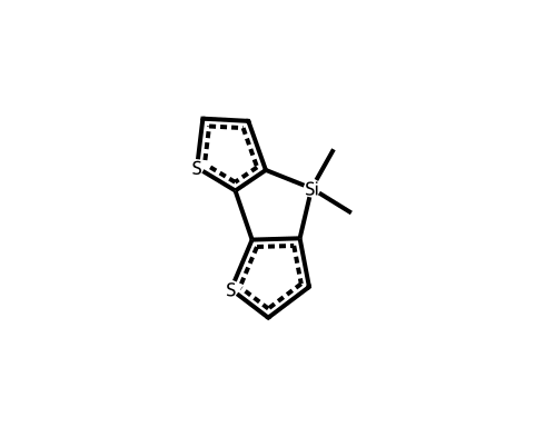 C[Si]1(C)c2ccsc2-c2sccc21